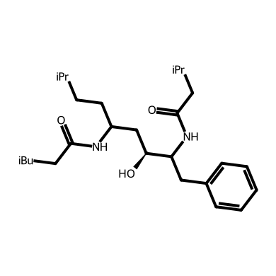 CCC(C)CC(=O)NC(CCC(C)C)C[C@H](O)C(Cc1ccccc1)NC(=O)CC(C)C